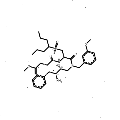 CCCC(CCC)S(=O)(=O)CC(NC(=O)CCC(=O)OC)C(=O)N(Cc1cccc(OC)c1)C[C@@H](O)[C@@H](N)Cc1ccccc1